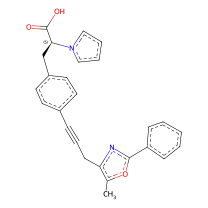 Cc1oc(-c2ccccc2)nc1CC#Cc1ccc(C[C@@H](C(=O)O)n2cccc2)cc1